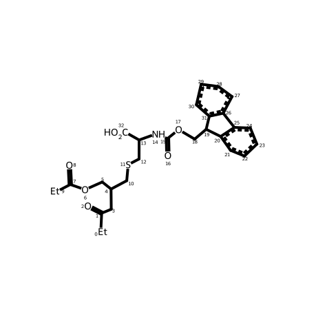 CCC(=O)CC(COC(=O)CC)CSCC(NC(=O)OCC1c2ccccc2-c2ccccc21)C(=O)O